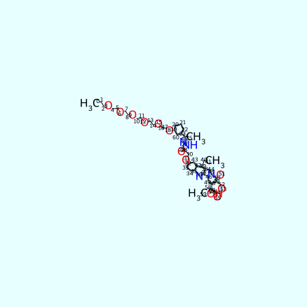 CCCOCCOCCOCCOCCOCCOc1cccc(/C(C)=N/NC(=O)COc2ccc3nc4c(c(CC)c3c2)Cn2c-4cc3c(c2=O)COC(=O)[C@]3(O)CC)c1